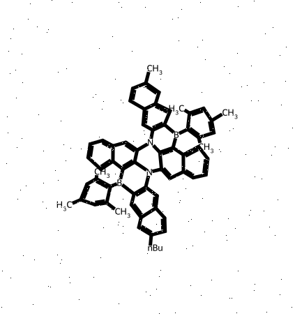 CCCCc1ccc2cc3c(cc2c1)B(c1c(C)cc(C)cc1C)c1c2c(cc4ccccc14)N1c4cc5ccc(C)cc5cc4B(c4c(C)cc(C)cc4C)c4c1c(cc1ccccc41)N32